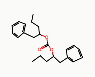 CCCC(Cc1ccccc1)OC(=O)OC(CCC)Cc1ccccc1